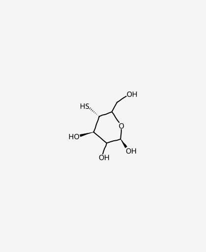 OCC1O[C@@H](O)C(O)[C@@H](O)[C@@H]1S